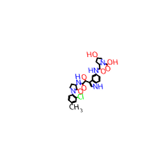 Cc1ccc(N2CCC(NC(=O)C(=O)c3c[nH]c4ccc(NC(=O)C5CC(O)CN5C(=O)O)cc34)C2=O)c(Cl)c1